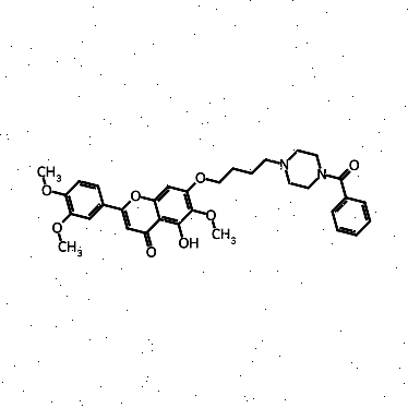 COc1ccc(-c2cc(=O)c3c(O)c(OC)c(OCCCCN4CCN(C(=O)c5ccccc5)CC4)cc3o2)cc1OC